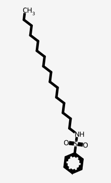 CCCCCCCCCCCCCCCCNS(=O)(=O)c1cc[c]cc1